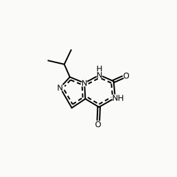 CC(C)c1ncc2c(=O)[nH]c(=O)[nH]n12